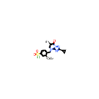 COc1cc(S(=O)(=O)Cl)ccc1Cn1cc(C(C)C)c(=O)n2nc(C3CC3)nc12